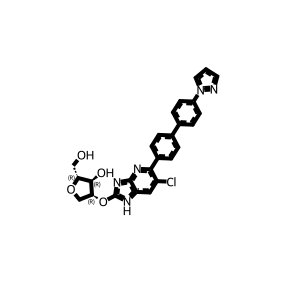 OC[C@H]1OC[C@@H](Oc2nc3nc(-c4ccc(-c5ccc(-n6cccn6)cc5)cc4)c(Cl)cc3[nH]2)[C@@H]1O